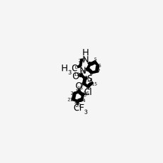 CC1CNc2ccccc2N1C(=O)c1sccc1Oc1ccc(C(F)(F)F)cc1Cl